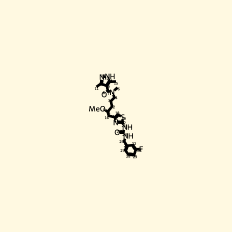 COC(CCCN(C)C(=O)c1c(C)n[nH]c1C)Cc1csc(NC(=O)NCc2cccc(F)c2)n1